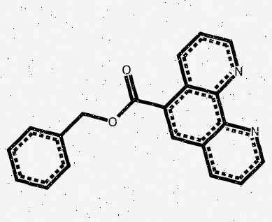 O=C(OCc1ccccc1)c1cc2cccnc2c2ncccc12